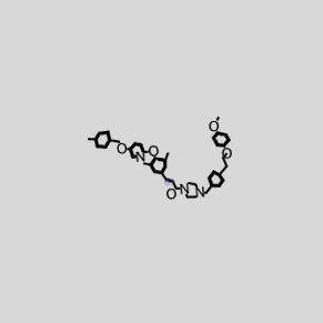 COc1ccc(OCCc2ccc(CN3CCN(C(=O)/C=C/c4cc(C)c(Oc5ccc(OCc6ccc(C)cc6)cn5)c(C)c4)CC3)cc2)cc1